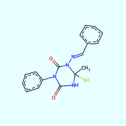 CC1(S)NC(=O)N(c2ccccc2)C(=O)N1N=Cc1ccccc1